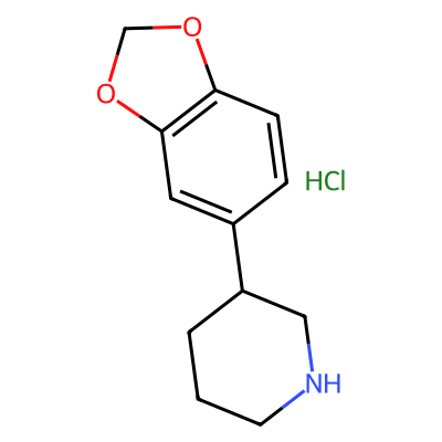 Cl.c1cc2c(cc1C1CCCNC1)OCO2